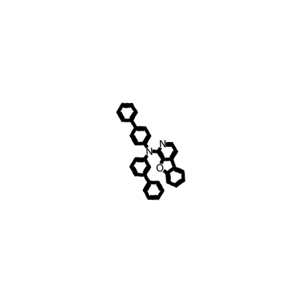 c1ccc(-c2ccc(N(c3cccc(-c4ccccc4)c3)c3nccc4c3oc3ccccc34)cc2)cc1